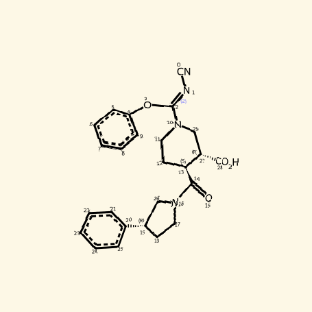 N#C/N=C(\Oc1ccccc1)N1CC[C@H](C(=O)N2CC[C@H](c3ccccc3)C2)[C@@H](C(=O)O)C1